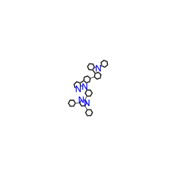 c1ccc(-c2cc(-c3ccccc3)nc(-c3cccc(-n4c5cc(-c6cccc7c6c6ccccc6n7-c6ccccc6)ccc5c5cccnc54)c3)n2)cc1